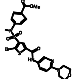 COC(=O)c1ccc(N(C)S(=O)(=O)c2cc(C(=O)Nc3ccc(N4CCOCC4)nc3)sc2Br)cc1